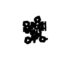 CC(=O)N(CCNC(=O)Nc1ccccc1Br)c1cccc(C)c1.CCN(CCNC(=O)Nc1ccccc1Br)c1ccccc1